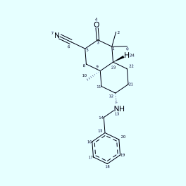 CC1(C)C(=O)C(C#N)C[C@]2(C)C[C@@H](NCc3ccccc3)CC[C@@H]12